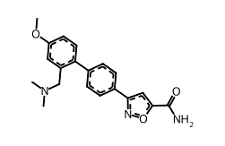 COc1ccc(-c2ccc(-c3cc(C(N)=O)on3)cc2)c(CN(C)C)c1